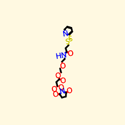 O=C(CCSSc1ccccn1)NCCOCCOC(=O)CC(=O)ON1C(=O)CCC1=O